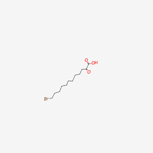 O=C(O)C(=O)CCCCCCCCCCBr